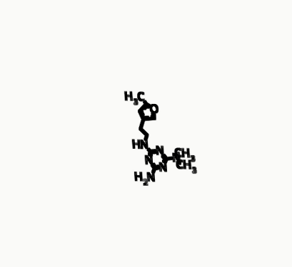 Cc1cc(CCNc2nc(N)nc(N(C)C)n2)co1